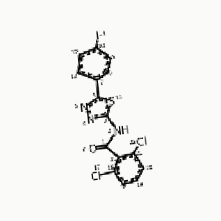 O=C(Nc1nnc(-c2ccc(I)cc2)s1)c1c(Cl)cccc1Cl